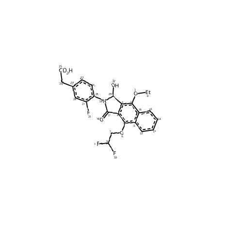 CCOc1c2c(c(OCC(F)F)c3ccccc13)C(=O)N(c1ccc(CC(=O)O)cc1F)C2O